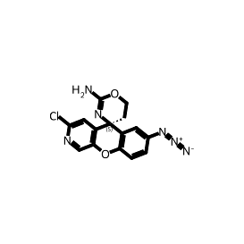 [N-]=[N+]=Nc1ccc2c(c1)[C@@]1(CCOC(N)=N1)c1cc(Cl)ncc1O2